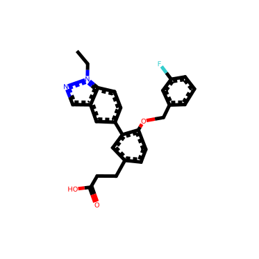 CCn1ncc2cc(-c3cc(CCC(=O)O)ccc3OCc3cccc(F)c3)ccc21